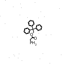 O=C(CP)OCC(c1ccccc1)(c1ccccc1)c1ccccc1